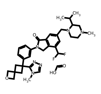 CC(C)C1CN(C)CCN1Cc1cc2c(c(C(F)F)c1)CN(c1cccc(C3(c4nncn4C)CC4(COC4)C3)c1)C2=O.O=CO